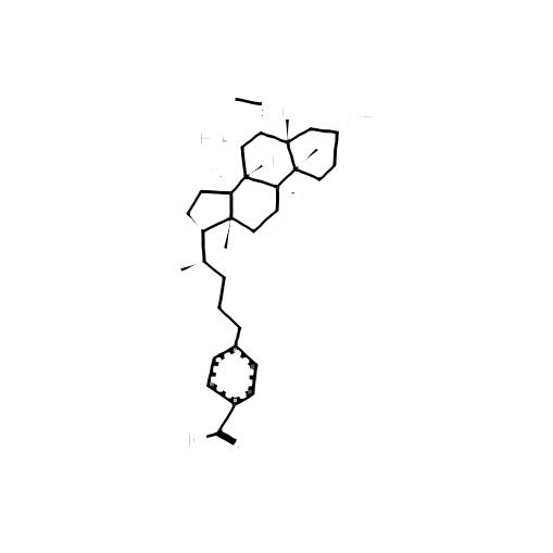 CC[C@H]1[C@@H](O)[C@@H]2[C@H](CC[C@]3(C)[C@@H]([C@H](C)CCCc4ccc(C(=O)O)cc4)CC[C@@H]23)[C@@]2(C)CC[C@@H](O)C[C@@H]12